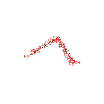 C=C(C)C(=O)O.C=C(C)C(=O)O.C=C(C)C(=O)O.C=C(C)C(=O)O.C=C(C)C(=O)O.C=C(C)C(=O)O.C=C(C)C(=O)O.C=C(C)C(=O)O.C=C(C)C(=O)O.C=CC(=O)O.C=CC(=O)O.C=CC(=O)O.C=CC(=O)O.C=CC(=O)O.C=CC(=O)O.C=CC(=O)O.CCC.CCC(CO)(CO)CO.OCC(CO)(CO)CO.OCC(CO)(CO)CO.OCCCCO